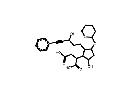 O=C(O)CC(C(=O)O)C1C(O)CC(OC2CCCCO2)C1CCC(O)C#Cc1ccccc1